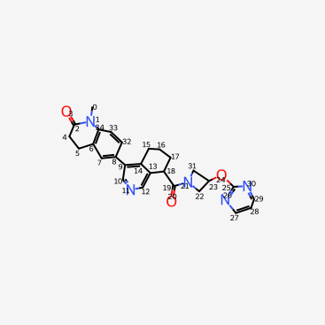 CN1C(=O)CCc2cc(-c3cncc4c3CCCC4C(=O)N3CC(Oc4ncccn4)C3)ccc21